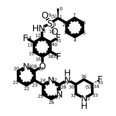 C[C@@H](c1ccccc1)S(=O)(=O)Nc1c(F)cc(Oc2ncccc2-c2ccnc(NC3CNC[C@@H](F)C3)n2)c(F)c1F